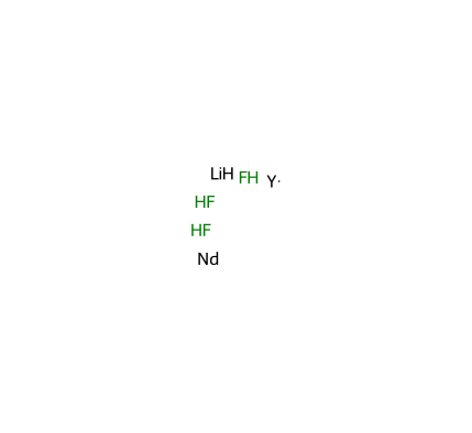 F.F.F.[LiH].[Nd].[Y]